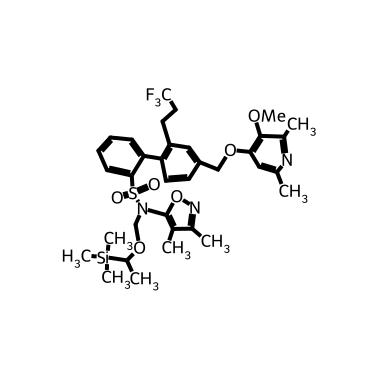 COc1c(OCc2ccc(-c3ccccc3S(=O)(=O)N(COC(C)[Si](C)(C)C)c3onc(C)c3C)c(CCC(F)(F)F)c2)cc(C)nc1C